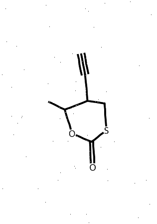 C#CC1CSC(=O)OC1C